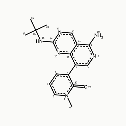 Cn1cccc(-c2cnc(N)c3cnc(NC(C)(C)C)nc23)c1=O